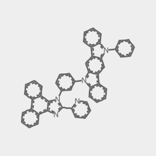 c1ccc(-n2c3ccccc3c3cc4c(cc32)c2ccccc2n4-c2cccc(-n3c(-c4ccccn4)nc4c5ccccc5c5ccccc5c43)c2)cc1